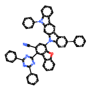 N#Cc1cc(-n2c3ccc(-c4ccccc4)cc3c3cc4c5ccccc5n(-c5ccccc5)c4cc32)c2oc3ccccc3c2c1-c1nc(-c2ccccc2)nc(-c2ccccc2)n1